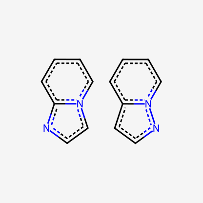 c1ccn2ccnc2c1.c1ccn2nccc2c1